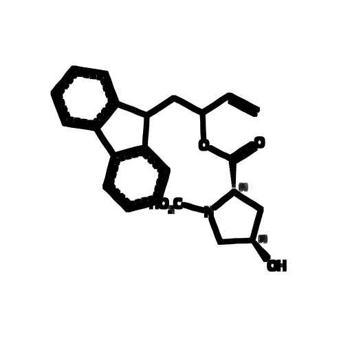 C=CC(CC1c2ccccc2-c2ccccc21)OC(=O)[C@@H]1C[C@@H](O)CN1C(=O)O